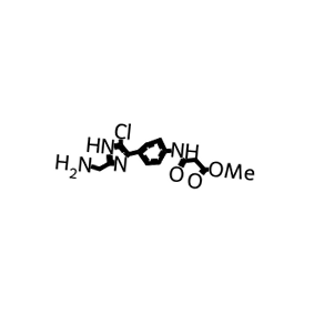 COC(=O)CC(=O)Nc1ccc(-c2nc(CN)[nH]c2Cl)cc1